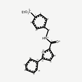 CCOC(=O)c1ccc(CNC(=O)c2ccc(-c3ccccc3)o2)cc1